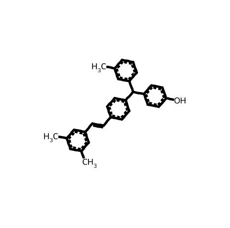 Cc1cc(C)cc(C=Cc2ccc(C(c3ccc(O)cc3)c3cccc(C)c3)cc2)c1